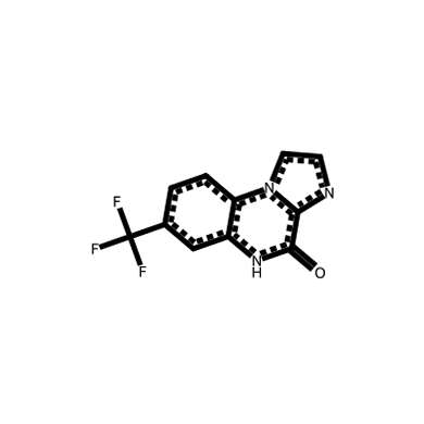 O=c1[nH]c2cc(C(F)(F)F)ccc2n2ccnc12